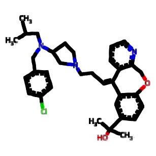 CC(C)CN(Cc1ccc(Cl)cc1)C1CCN(CC/C=C2/c3cc(C(C)(C)O)ccc3OCc3ncccc32)C1